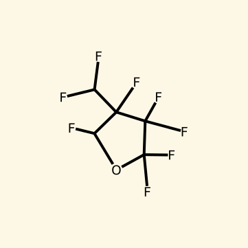 FC(F)C1(F)C(F)OC(F)(F)C1(F)F